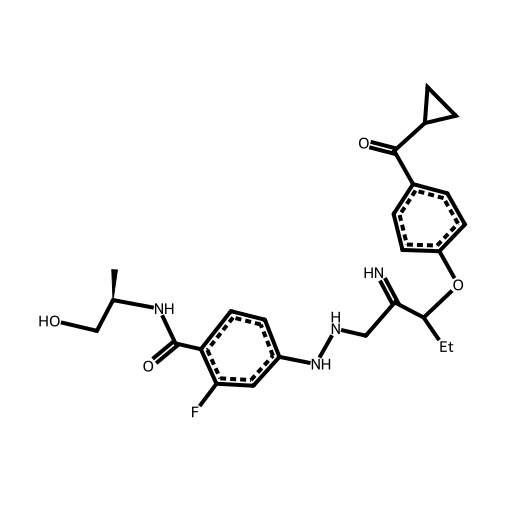 CCC(Oc1ccc(C(=O)C2CC2)cc1)C(=N)CNNc1ccc(C(=O)N[C@H](C)CO)c(F)c1